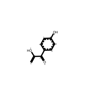 C=C(O)C(=O)c1ccc(O)cc1